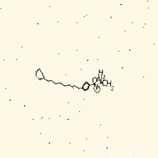 C=C(N)[C@@H]1CCCN1C(=O)c1ccc(CCCCCCCCCC2CCCCC2)cc1